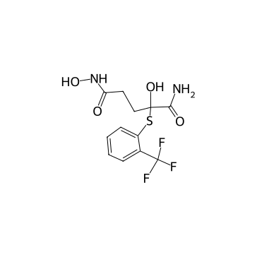 NC(=O)C(O)(CCC(=O)NO)Sc1ccccc1C(F)(F)F